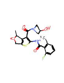 CC1OCc2sc(NC(=O)c3c(F)cccc3C(F)(F)F)c(C(=O)N3CC(O)C3)c21